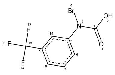 O=C(O)N(Br)c1cccc(C(F)(F)F)c1